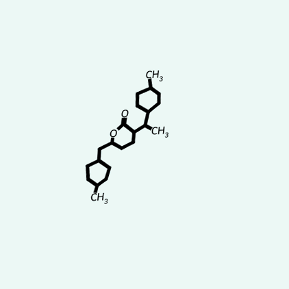 CC1CCC(CC2CCC(C(C)C3CCC(C)CC3)C(=O)O2)CC1